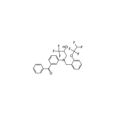 O=C(c1ccccc1)c1cccc(N(Cc2ccccc2OC(F)(F)C(F)F)CC(O)C(F)(F)F)c1